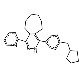 c1ccc(C2=NNC(c3ccc(CC4CCCC4)cc3)=C3CCCCCCC23)nc1